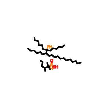 CCCC(C)C(C)(C)[PH](=O)O.CCCCCCCCCCCCC(CCCCCC)C(P)(CCCCCC)CCCCCC